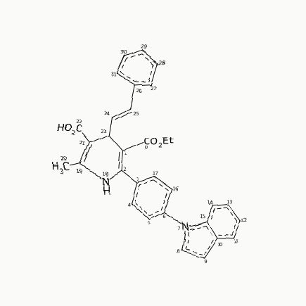 CCOC(=O)C1=C(c2ccc(-n3ccc4ccccc43)cc2)NC(C)=C(C(=O)O)C1C=Cc1ccccc1